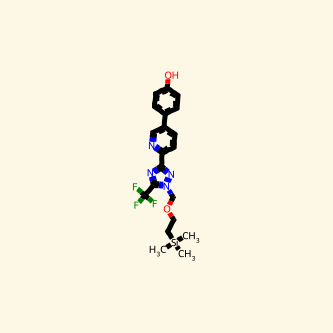 C[Si](C)(C)CCOCn1nc(-c2ccc(-c3ccc(O)cc3)cn2)nc1C(F)(F)F